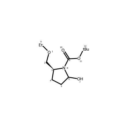 CCOC[C@@H]1CCC(O)N1C(=O)OC(C)(C)C